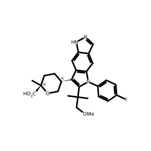 COCC(C)(C)c1c([C@H]2CC[C@](C)(C(=O)O)OC2)c2cc3[nH]ncc3cc2n1-c1ccc(F)cc1